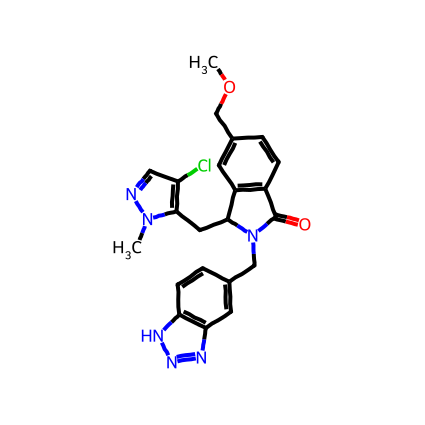 COCc1ccc2c(c1)C(Cc1c(Cl)cnn1C)N(Cc1ccc3[nH]nnc3c1)C2=O